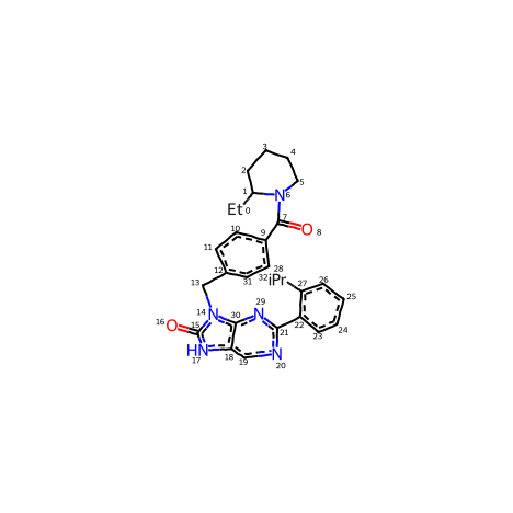 CCC1CCCCN1C(=O)c1ccc(Cn2c(=O)[nH]c3cnc(-c4ccccc4C(C)C)nc32)cc1